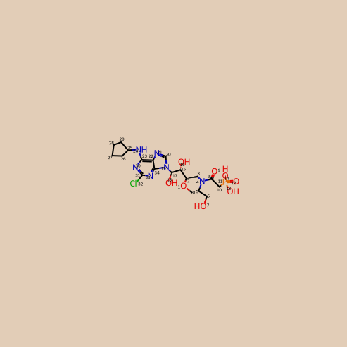 CO[C@H](CN(CCO)C(=O)CP(=O)(O)O)[C@@H](O)[C@@H](O)n1cnc2c(NC3CCCC3)nc(Cl)nc21